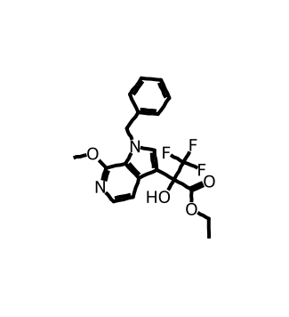 CCOC(=O)C(O)(c1cn(Cc2ccccc2)c2c(OC)nccc12)C(F)(F)F